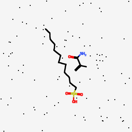 C=C(C)C(N)=O.CCCCCCCCCCCCS(=O)(=O)O